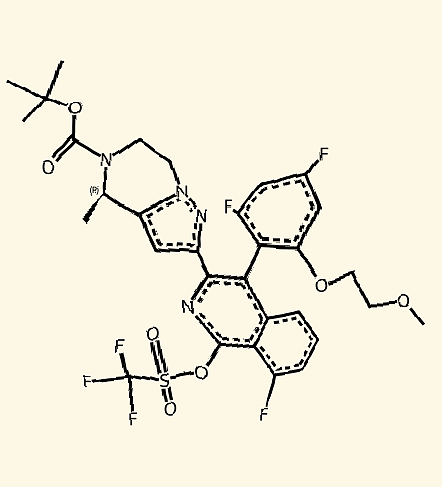 COCCOc1cc(F)cc(F)c1-c1c(-c2cc3n(n2)CCN(C(=O)OC(C)(C)C)[C@@H]3C)nc(OS(=O)(=O)C(F)(F)F)c2c(F)cccc12